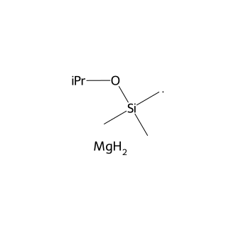 [CH2][Si](C)(C)OC(C)C.[MgH2]